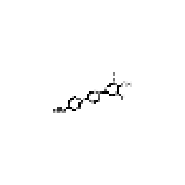 CCCCc1ccc(-c2ccc(-c3cc(F)c(C#N)c(F)c3)nc2)cc1